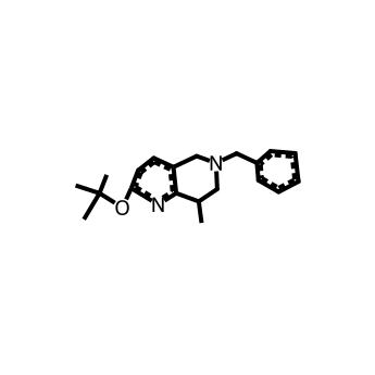 CC1CN(Cc2ccccc2)Cc2ccc(OC(C)(C)C)nc21